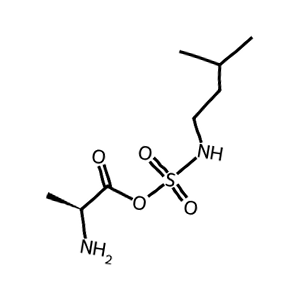 CC(C)CCNS(=O)(=O)OC(=O)[C@H](C)N